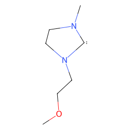 COCCN1[C]N(C)CC1